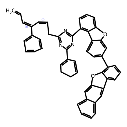 C=C/C=C(\C=C/Cc1nc(C2=CCCC=C2)nc(-c2cccc3oc4cc(-c5cccc6c5oc5cc7ccccc7cc56)ccc4c23)n1)c1ccccc1